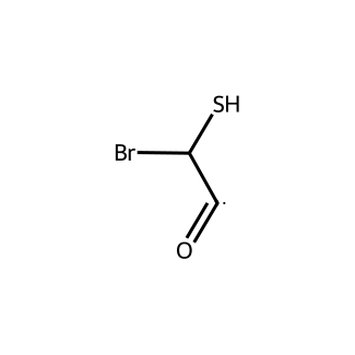 O=[C]C(S)Br